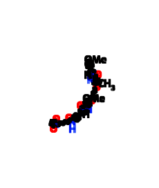 COc1ccc(C2=CN3C(=O)c4cc(C)c(OCCCCCOc5cc6c(cc5OC)C(=O)N5C=C(c7ccc(NC(=O)CCCCCN8C(=O)C=CC8=O)cc7)C[C@H]5C=N6)cc4N=C[C@@H]3C2)cc1